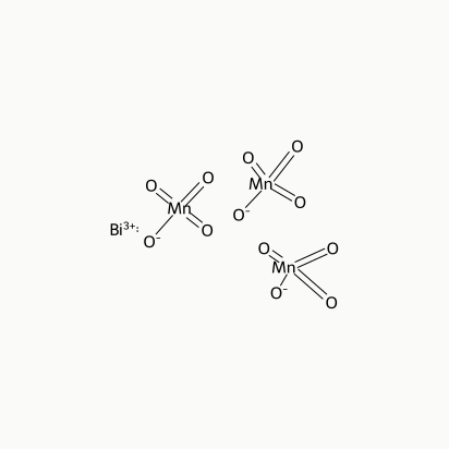 [Bi+3].[O]=[Mn](=[O])(=[O])[O-].[O]=[Mn](=[O])(=[O])[O-].[O]=[Mn](=[O])(=[O])[O-]